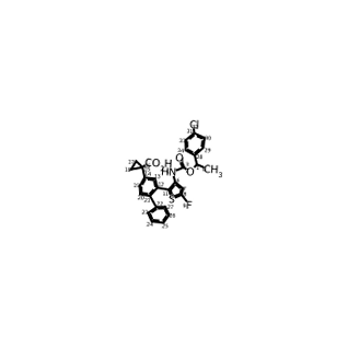 CC(OC(=O)Nc1cc(F)sc1-c1cc(C2(C(=O)O)CC2)ccc1-c1ccccc1)c1ccc(Cl)cc1